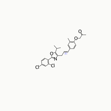 CC(=O)COc1ccc(/C=C/Cc2nc(-c3ccc(Cl)cc3Cl)oc2C(C)C)cc1C